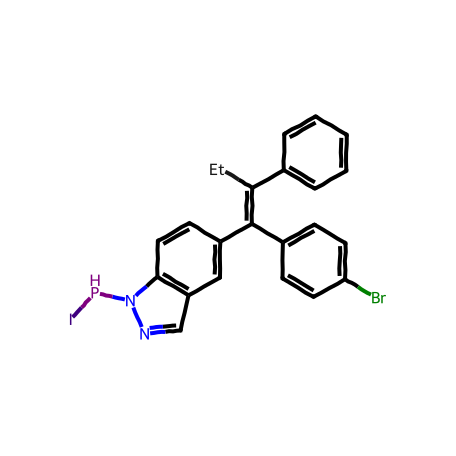 CC/C(=C(/c1ccc(Br)cc1)c1ccc2c(cnn2PI)c1)c1ccccc1